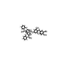 Cc1cc(OCP(=O)(N[C@@H](Cc2ccccc2)C(=O)OC(C)C)N[C@@H](Cc2ccccc2)C(=O)OC(C)C)cc(C)c1Cc1ccc(O)c(C(C)C)c1